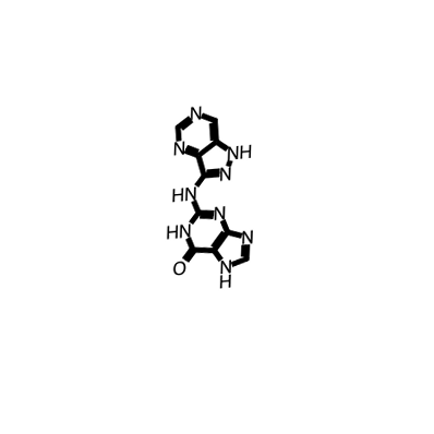 O=c1[nH]c(Nc2n[nH]c3cncnc23)nc2nc[nH]c12